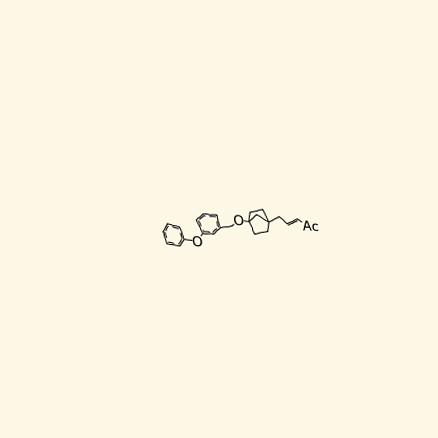 CC(=O)/C=C/CC12CCC(OCc3cccc(Oc4ccccc4)c3)(CC1)C2